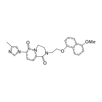 COc1cccc2c(OCCN3CCn4c(ccc(-n5cnc(C)c5)c4=O)C3=O)cccc12